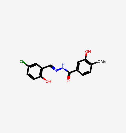 COc1ccc(C(=O)N/N=C/c2cc(Cl)ccc2O)cc1O